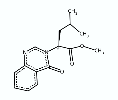 COC(=O)[C@H](CC(C)C)n1cnc2ccccc2c1=O